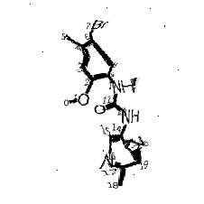 COc1cc(C)c(Br)cc1NC(=O)Nc1cnc(C)cn1